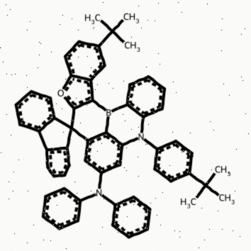 CC(C)(C)c1ccc(N2c3ccccc3B3c4c2cc(N(c2ccccc2)c2ccccc2)cc4C2(c4ccccc4-c4ccccc42)c2oc4ccc(C(C)(C)C)cc4c23)cc1